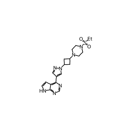 CCS(=O)(=O)N1CCN(C2CC(n3cc(-c4ncnc5[nH]ccc45)cn3)C2)CC1